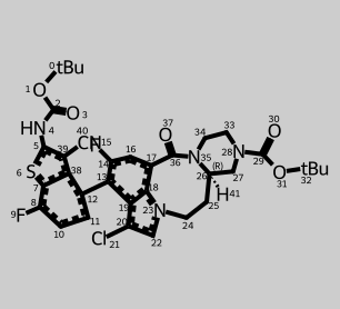 CC(C)(C)OC(=O)Nc1sc2c(F)ccc(-c3c(F)cc4c5c3c(Cl)cn5CC[C@@H]3CN(C(=O)OC(C)(C)C)CCN3C4=O)c2c1C#N